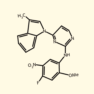 COc1cc(F)c([N+](=O)[O-])cc1Nc1nccc(-n2cc(C)c3ccccc32)n1